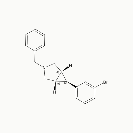 Brc1cccc([C@H]2[C@@H]3CN(Cc4ccccc4)C[C@@H]32)c1